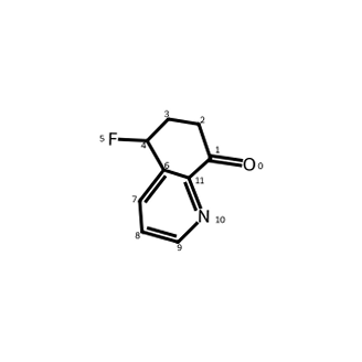 O=C1CCC(F)c2cccnc21